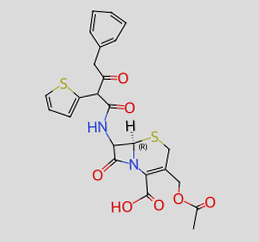 CC(=O)OCC1=C(C(=O)O)N2C(=O)C(NC(=O)C(C(=O)Cc3ccccc3)c3cccs3)[C@H]2SC1